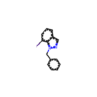 Ic1cccc2cnn(Cc3ccccc3)c12